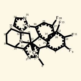 Cn1nc2c(c1-c1cc(F)c(F)c(F)c1)CC1CCCC2N1C(=O)c1ccc(F)cc1-n1nccn1